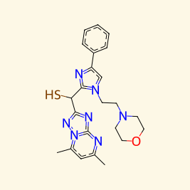 Cc1cc(C)n2nc(C(S)c3nc(-c4ccccc4)cn3CCN3CCOCC3)nc2n1